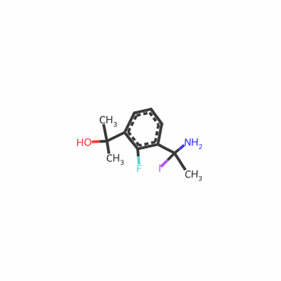 CC(C)(O)c1cccc(C(C)(N)I)c1F